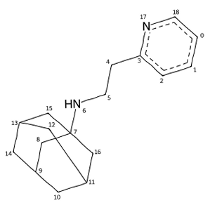 c1ccc(CCNC23CC4CC(CC(C4)C2)C3)nc1